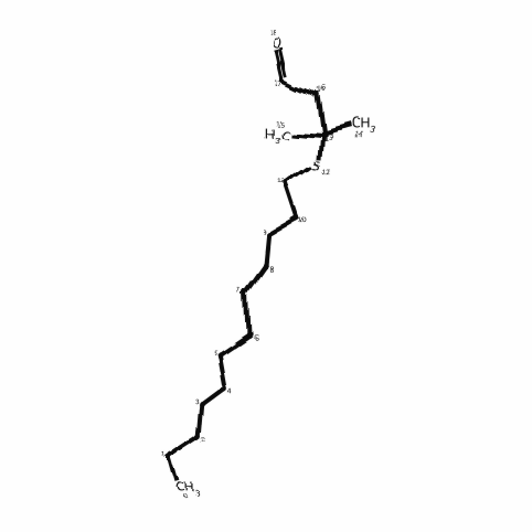 CCCCCCCCCCCCSC(C)(C)CC=O